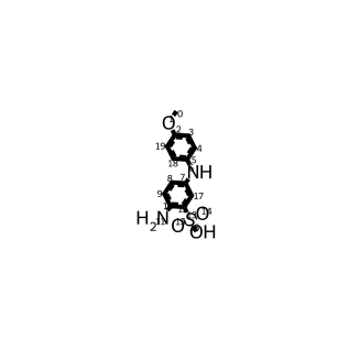 COc1ccc(Nc2ccc(N)c(S(=O)(=O)O)c2)cc1